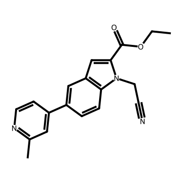 CCOC(=O)c1cc2cc(-c3ccnc(C)c3)ccc2n1CC#N